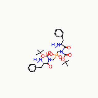 CC(C)(C)OC(=O)N(CP(=O)(O)CN(C(=O)OC(C)(C)C)C(=O)[C@@H](N)Cc1ccccc1)C(=O)[C@@H](N)Cc1ccccc1